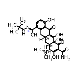 C/C(=N\NC(C)(C)C)c1ccc(O)c2c1C[C@H]1C[C@H]3[C@H](N(C)C)C(O)=C(C(N)=O)C(=O)[C@@]3(O)C(O)=C1C2=O